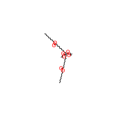 CCCCCCCCCOC(=O)CCCCCCCCCC(CCCCCCCCCC(=O)OCCCCCCCCC)(C(=O)OC(C)(C)C)C(=O)OC(C)(C)C